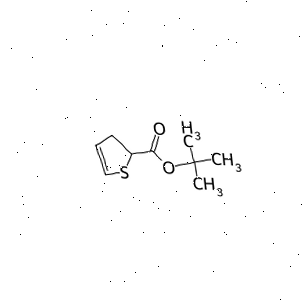 CC(C)(C)OC(=O)C1CC=CS1